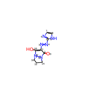 O=c1c(N=Nc2ncc[nH]2)c(O)n2n1CCC2